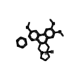 COc1ccc2c3c(c4cc(OC)c(OC)cc4c2c1)C[C@@H]1CCCN1C3.c1ccccc1